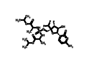 CC(C)OC(=O)[C@H](C)NP(=S)(N[C@@H](C)C(=O)OC(C)C)OC[C@@]1(C(F)F)O[C@@H](n2ccc(N)nc2=O)[C@H](O)[C@H]1F